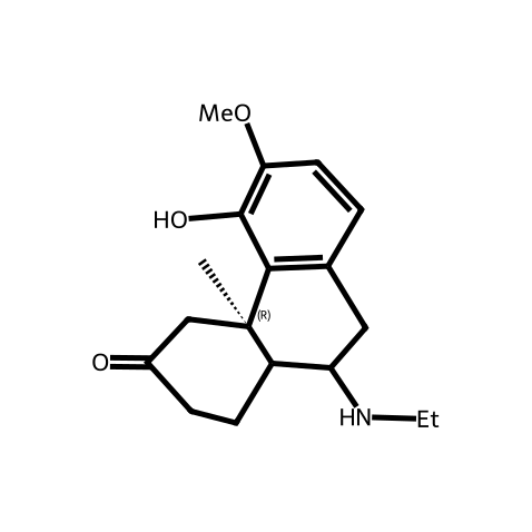 CCNC1Cc2ccc(OC)c(O)c2[C@]2(C)CC(=O)CCC12